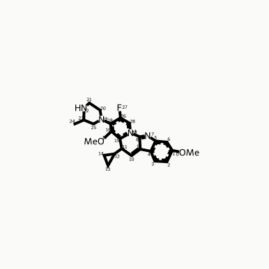 COc1ccc2c(c1)N=C1C2=CC(C2CC2)c2c(OC)c(N3CCNC(C)C3)c(F)c[n+]21